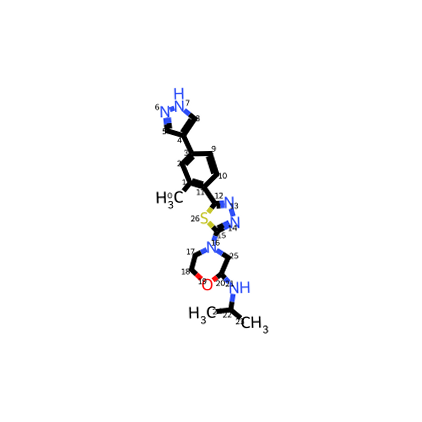 Cc1cc(-c2cn[nH]c2)ccc1-c1nnc(N2CCOC(NC(C)C)C2)s1